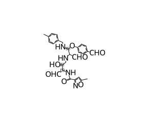 Cc1ccc(CN[C@@H](Oc2ccc(C=O)cc2)C(C=O)NC[C@H](O)[C@@H](C=O)NC(=O)c2cc(C)on2)cc1